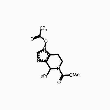 CCCC1c2ncn(OC(=O)C(F)(F)F)c2CCN1C(=O)OC